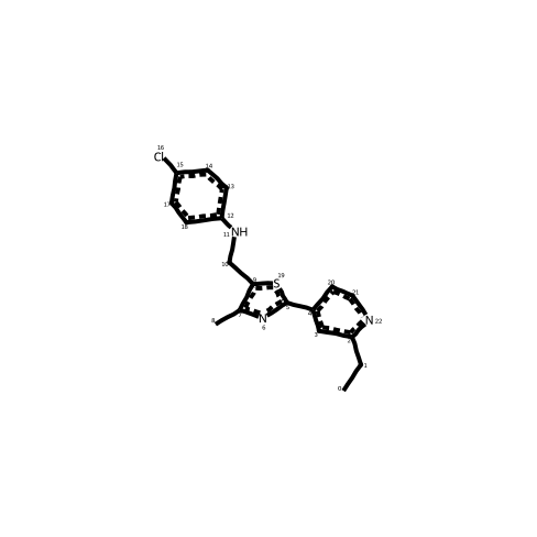 CCc1cc(-c2nc(C)c(CNc3ccc(Cl)cc3)s2)ccn1